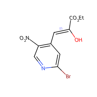 CCOC(=O)/C(O)=C/c1cc(Br)ncc1[N+](=O)[O-]